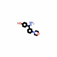 N/N=C(\c1ccc(O)cc1)c1cccc(N2CCOCC2)c1